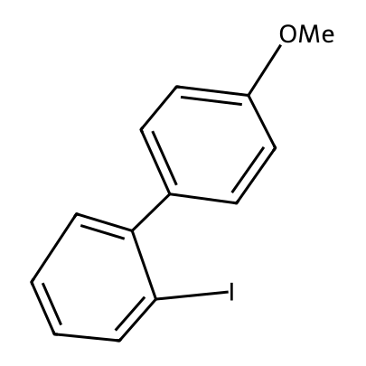 COc1ccc(-c2ccccc2I)cc1